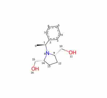 C[C@@H](c1ccccc1)N1[C@H](CO)CC[C@@H]1CO